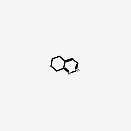 C1=[N+]N=C2CCCCC2=C1